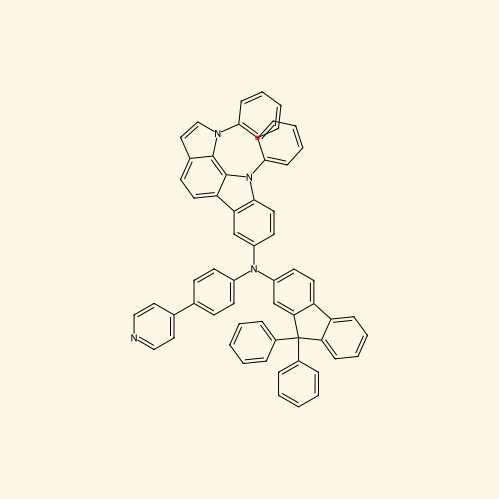 c1ccc(-n2ccc3ccc4c5cc(N(c6ccc(-c7ccncc7)cc6)c6ccc7c(c6)C(c6ccccc6)(c6ccccc6)c6ccccc6-7)ccc5n(-c5ccccc5)c4c32)cc1